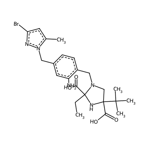 CCC1(C(=O)O)NC(C(=O)O)(C(C)(C)C)CN1Cc1ccc(Cn2nc(Br)cc2C)cc1N